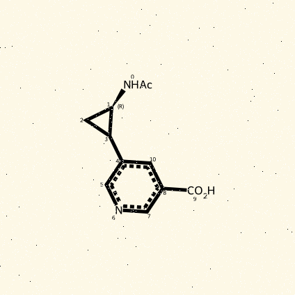 CC(=O)N[C@@H]1CC1c1cncc(C(=O)O)c1